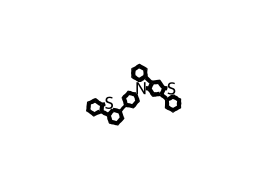 c1ccc2c(c1)sc1cc3c4ccccc4n(-c4ccc(-c5cccc6c5sc5ccccc56)cc4)c3cc12